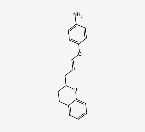 Nc1ccc(OC=CCC2CCc3ccccc3O2)cc1